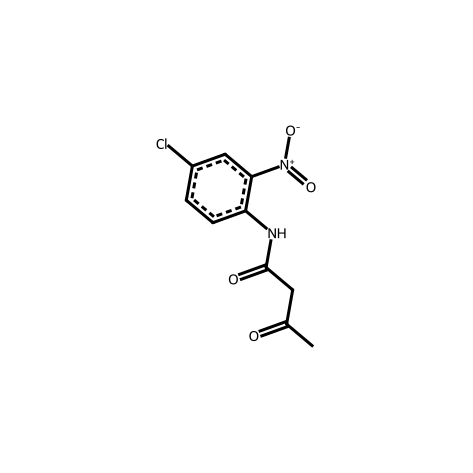 CC(=O)CC(=O)Nc1ccc(Cl)cc1[N+](=O)[O-]